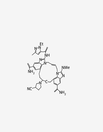 C=C(N)c1cc2c3c(c1)nc(NC)n3C/C=C/Cn1c(NC(=C)c3cc(C)nn3CC)nc3cc(C(=C)N)cc(c31)CCC(N1CCC(C#N)C1)CC2